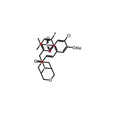 COc1cc(/C=C/C(=O)N2C3COCC2CN(Cc2ccc(F)cc2)C3)c(S(=O)(=O)N(C)C)cc1Cl